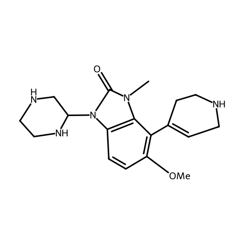 COc1ccc2c(c1C1=CCNCC1)n(C)c(=O)n2C1CNCCN1